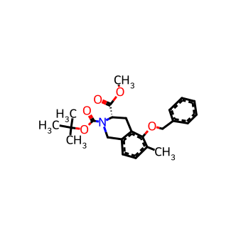 COC(=O)[C@@H]1Cc2c(ccc(C)c2OCc2ccccc2)CN1C(=O)OC(C)(C)C